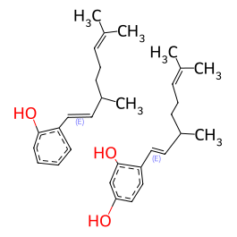 CC(C)=CCCC(C)/C=C/c1ccc(O)cc1O.CC(C)=CCCC(C)/C=C/c1ccccc1O